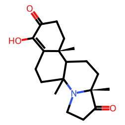 CC12CCC3=C(O)C(=O)CC[C@]3(C)C1CC[C@]1(C)C(=O)CCN21